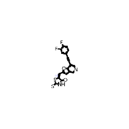 O=C1NC(=S)S/C1=C/c1cc2cncc(C#Cc3ccc(F)c(F)c3)c2o1